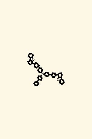 CC1(c2ccc(N(c3ccc(-c4ccccc4)cc3)c3ccc(-c4ccc(C5CC=Cc6c5oc5ccccc65)cc4)cc3)cc2)C=CC(c2cccc3c2oc2ccccc23)=CC1